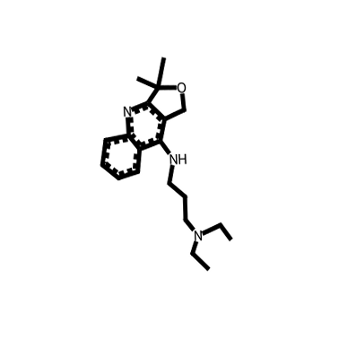 CCN(CC)CCCNc1c2c(nc3ccccc13)C(C)(C)OC2